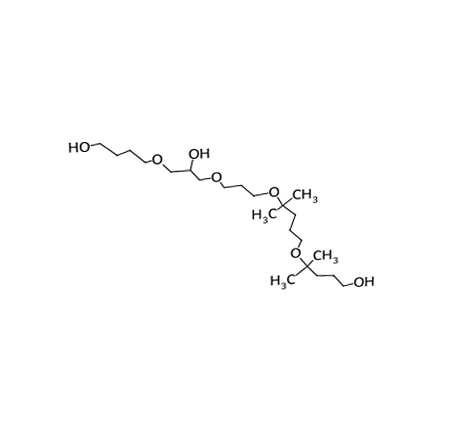 CC(C)(CCCO)OCCCC(C)(C)OCCCOCC(O)COCCCCO